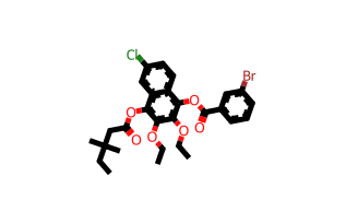 CCOc1c(OCC)c(OC(=O)c2cccc(Br)c2)c2ccc(Cl)cc2c1OC(=O)CC(C)(C)CC